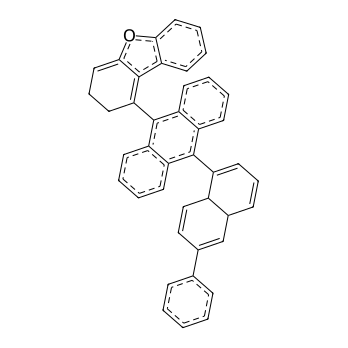 C1=CC2C=C(c3ccccc3)C=CC2C(c2c3ccccc3c(C3=c4c(oc5ccccc45)=CCC3)c3ccccc23)=C1